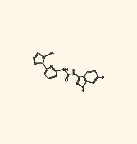 CC(C)n1cnnc1-c1cccc(NC(=O)Nc2n[nH]c3cc(F)ccc23)n1